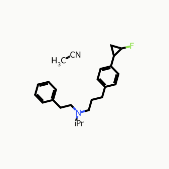 CC#N.CC(C)N(CCCc1ccc(C2CC2F)cc1)CCc1ccccc1